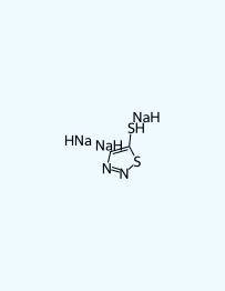 Sc1cnns1.[NaH].[NaH].[NaH]